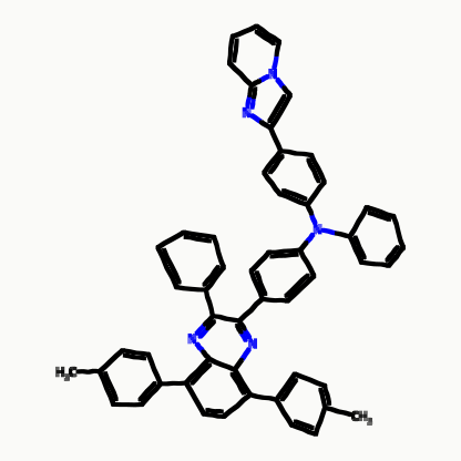 Cc1ccc(-c2ccc(-c3ccc(C)cc3)c3nc(-c4ccc(N(c5ccccc5)c5ccc(-c6cn7ccccc7n6)cc5)cc4)c(-c4ccccc4)nc23)cc1